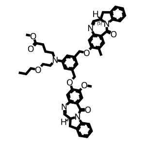 CCCOCCN(CCCC(=O)OC)c1cc(COc2cc3c(cc2C)C(=O)N2c4ccccc4C[C@H]2C=N3)cc(COc2cc3c(cc2OC)C(=O)N2c4ccccc4C[C@H]2C=N3)c1